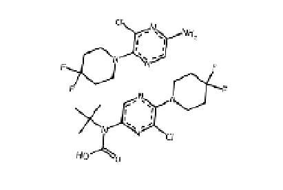 CC(C)(C)N(C(=O)O)c1cnc(N2CCC(F)(F)CC2)c(Cl)n1.Nc1cnc(N2CCC(F)(F)CC2)c(Cl)n1